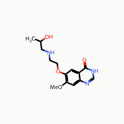 COc1cc2nc[nH]c(=O)c2cc1OCCNCC(C)O